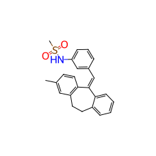 Cc1ccc2c(c1)CCc1ccccc1/C2=C/c1cccc(NS(C)(=O)=O)c1